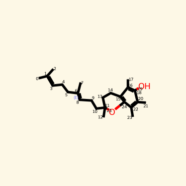 CC(C)=CCC/C(C)=C/CCC1(C)CCc2c(C)c(O)c(C)c(C)c2O1